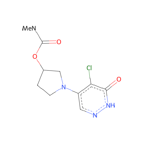 CNC(=O)OC1CCN(c2cn[nH]c(=O)c2Cl)C1